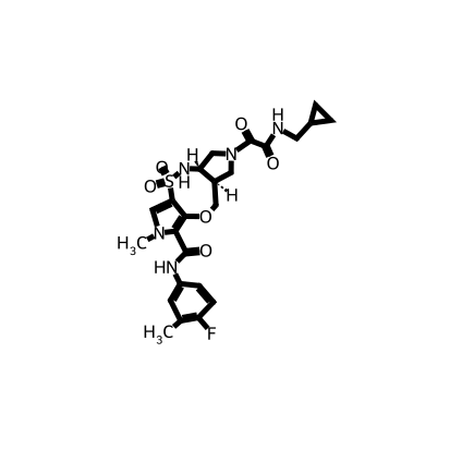 Cc1cc(NC(=O)c2c3c(cn2C)S(=O)(=O)N[C@H]2CN(C(=O)C(=O)NCC4CC4)C[C@H]2CO3)ccc1F